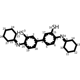 Sc1cc(-c2ccc(N=C3CCCCC3)c(S)c2)ccc1N=C1CCCCC1